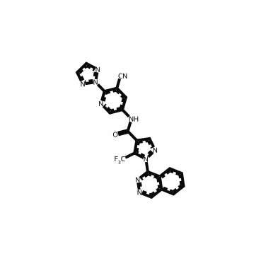 N#Cc1cc(NC(=O)c2cnn(-c3nncc4ccccc34)c2C(F)(F)F)cnc1-n1nccn1